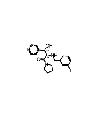 O=C([C@H](NCC1C=C(I)C=CC1)[C@@H](O)c1ccncc1)N1CCCC1